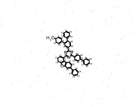 CC1C=CC(c2cc(-c3nc(C4=CCCc5oc6cc(-c7ccccc7)ccc6c54)nc(-c4ccc(-c5ccccc5)cc4)n3)ccc2-c2ccccc2)=CC1